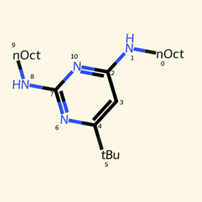 CCCCCCCCNc1cc(C(C)(C)C)nc(NCCCCCCCC)n1